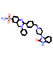 NS(=O)(=O)c1ccc2c(c1)CN(c1ccccc1)C(c1ccc(CN3CCC(n4c(=O)[nH]c5ccccc54)CC3)cc1)=N2